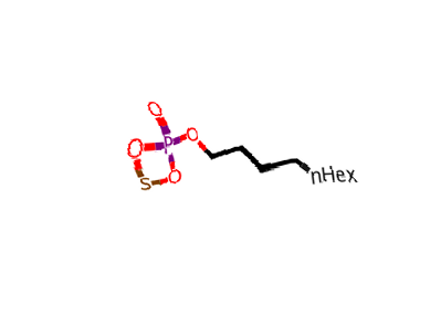 CCCCCCCCCCOP1(=O)OSO1